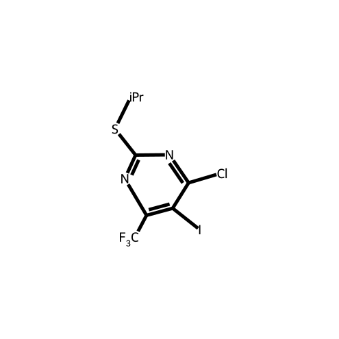 CC(C)Sc1nc(Cl)c(I)c(C(F)(F)F)n1